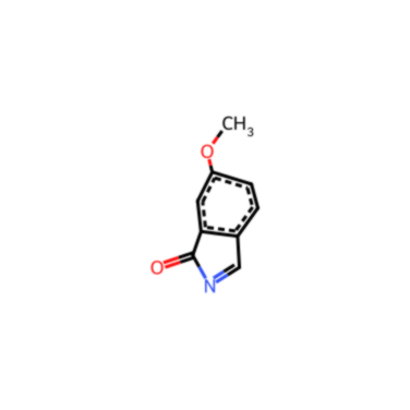 COc1ccc2c(c1)C(=O)N=C2